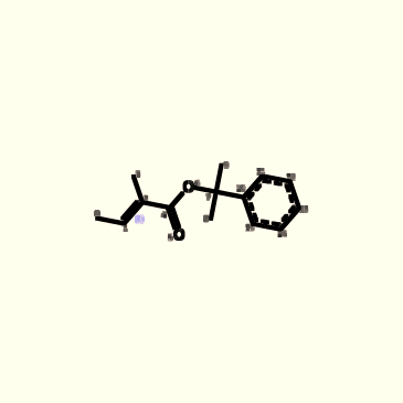 C/C=C(\C)C(=O)OC(C)(C)c1ccccc1